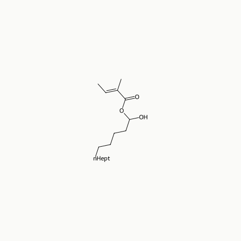 CC=C(C)C(=O)OC(O)CCCCCCCCCCC